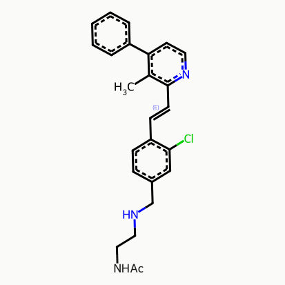 CC(=O)NCCNCc1ccc(/C=C/c2nccc(-c3ccccc3)c2C)c(Cl)c1